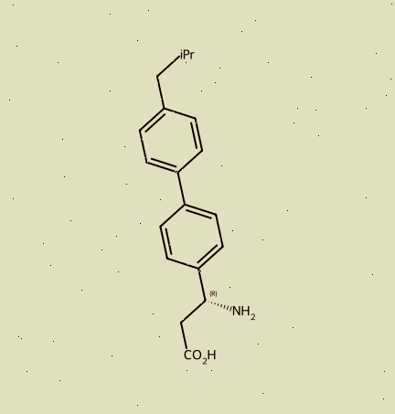 CC(C)Cc1ccc(-c2ccc([C@H](N)CC(=O)O)cc2)cc1